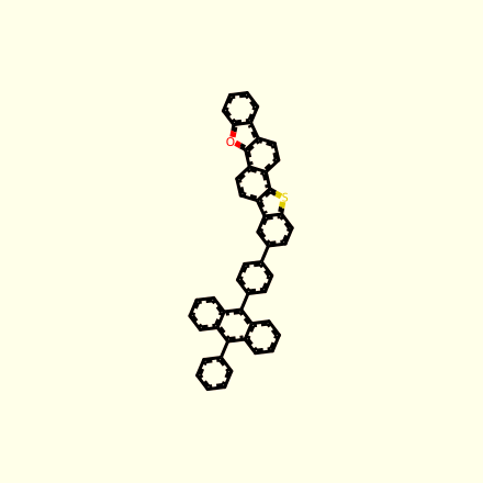 c1ccc(-c2c3ccccc3c(-c3ccc(-c4ccc5sc6c(ccc7c6ccc6c8ccccc8oc67)c5c4)cc3)c3ccccc23)cc1